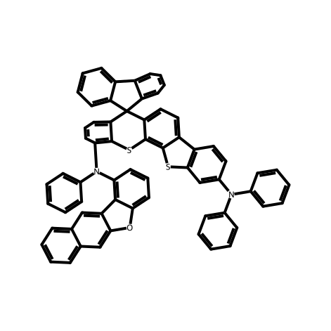 c1ccc(N(c2ccccc2)c2ccc3c(c2)sc2c4c(ccc23)C2(c3ccccc3-c3ccccc32)c2cccc(N(c3ccccc3)c3cccc5oc6cc7ccccc7cc6c35)c2S4)cc1